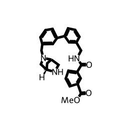 COC(=O)c1cccc(C(=O)NCc2cccc(-c3cccc(CN4C[C@@H]5CC4CN5)c3)c2)c1